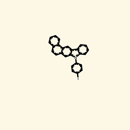 Ic1ccc(-n2c3ccccc3c3cc4c(ccc5ccccc54)cc32)cc1